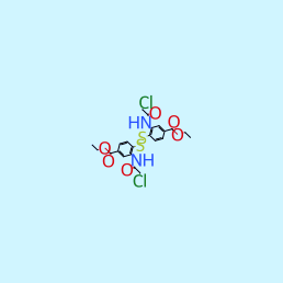 CCOC(=O)c1ccc(SSc2ccc(C(=O)OCC)cc2NC(=O)CCl)c(NC(=O)CCl)c1